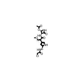 CON=C(C(=O)N[C@@H]1C(=O)N[C@H]1OC(C)=O)c1c[nH]c(SNC(=O)CCl)c1